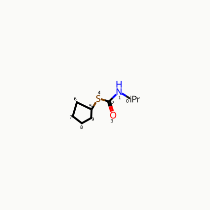 CC(C)NC(=O)SC1CCCC1